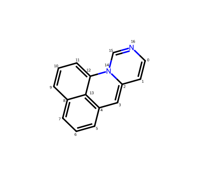 C1=CC2=Cc3cccc4cccc(c34)N2C=N1